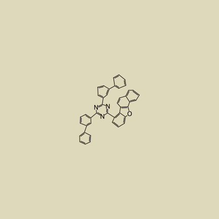 c1ccc(-c2cccc(-c3nc(-c4cccc(-c5ccccc5)c4)nc(-c4cccc5oc6c7ccccc7ccc6c45)n3)c2)cc1